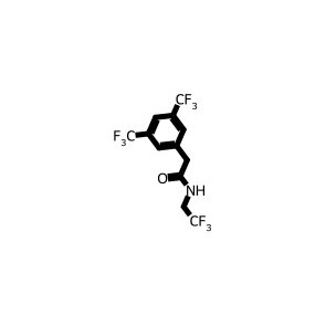 O=C(Cc1cc(C(F)(F)F)cc(C(F)(F)F)c1)NCC(F)(F)F